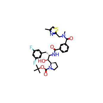 Cc1csc(CN(C)C(=O)c2cccc(C(=O)N[C@@H](Cc3cc(F)cc(F)c3)[C@H](O)[C@H]3CCCN3C(=O)OC(C)(C)C)c2)n1